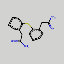 N=C(N)Cc1ccccc1Sc1ccccc1CC(=N)N